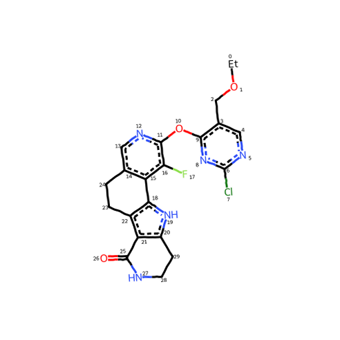 CCOCc1cnc(Cl)nc1Oc1ncc2c(c1F)-c1[nH]c3c(c1CC2)C(=O)NCC3